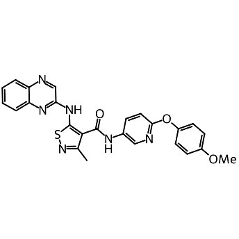 COc1ccc(Oc2ccc(NC(=O)c3c(C)nsc3Nc3cnc4ccccc4n3)cn2)cc1